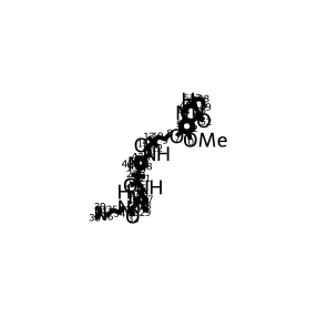 COc1cc2c(cc1OCCCC(C)(C)C(=O)Nc1cc(C(C)(C)C(=O)Nc3cn(C)c(C(=O)NCCCN(C)C)n3)n(C)c1)N=C[C@@H]1CCCN1C2=O